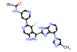 Cc1cn(-c2ccnc3[nH]c(-c4n[nH]c5cnc(-c6cncc(NC(=O)C(C)(C)C)c6)c(F)c45)nc23)cn1